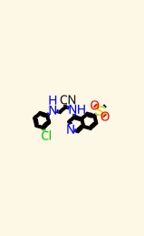 CS(=O)(=O)c1ccc2cncc(NC(C#N)CNc3cccc(Cl)c3)c2c1